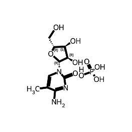 Cc1cn([C@@H]2O[C@H](CO)[C@@H](O)[C@H]2O)c(=O)nc1N.O=P(O)(O)O